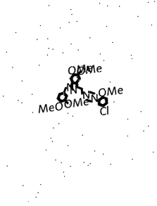 COc1ccc(Cn2nc(CCN3CCN(c4cc(Cl)ccc4OC)CC3)c3cc(OC)c(OC)cc32)cc1OC